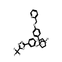 FC(F)(F)c1nnc(-c2ccc([C@]3(c4ccc(OCc5ccccn5)cc4)C[C@@H]4CC[C@H]3C4)cc2)o1